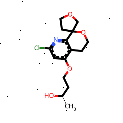 C[C@H](O)CCOc1cc(Cl)nc2c1CCOC21CCOC1